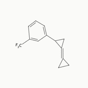 FC(F)(F)c1cccc(C2CC2=C2CC2)c1